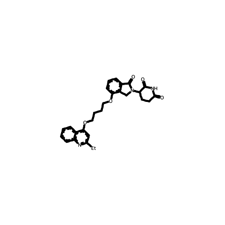 CCc1cc(OCCCCOc2cccc3c2CN(C2CCC(=O)NC2=O)C3=O)c2ccccc2n1